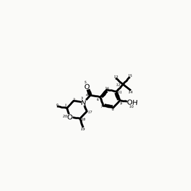 CC1CN(C(=O)c2ccc(O)c(C(C)(C)C)c2)CC(C)O1